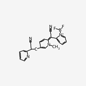 CN1C=C(CC(C#N)c2ccccn2)C=C/C1=C(\C#N)c1cccc[n+]1B(F)F